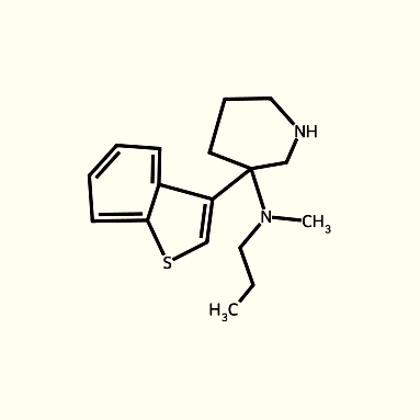 CCCN(C)C1(c2csc3ccccc23)CCCNC1